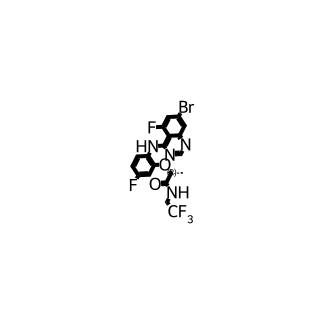 C[C@@H](Oc1cc(F)ccc1Nc1ncnc2cc(Br)cc(F)c12)C(=O)NCC(F)(F)F